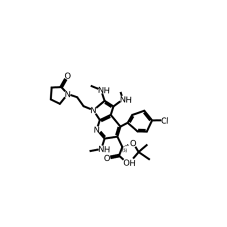 CNc1nc2c(c(NC)c(NC)n2CCN2CCCC2=O)c(-c2ccc(Cl)cc2)c1[C@H](OC(C)(C)C)C(=O)O